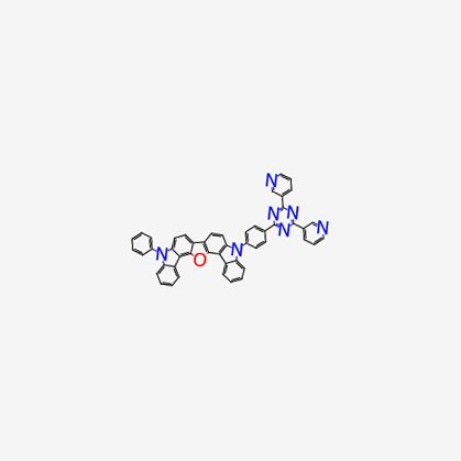 c1ccc(-n2c3ccccc3c3c4oc5c(ccc6c5c5ccccc5n6-c5ccc(-c6nc(-c7cccnc7)nc(-c7cccnc7)n6)cc5)c4ccc32)cc1